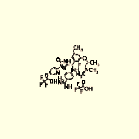 CCc1cc(OC(C)CN(C)C)c(F)c(C(Nc2ccc(C(=N)N)cc2)c2nn(-c3ccccn3)c(=O)[nH]2)c1.O=C(O)C(F)(F)F.O=C(O)C(F)(F)F